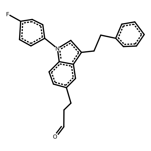 O=CCCc1ccc2c(c1)c(CCc1ccccc1)cn2-c1ccc(F)cc1